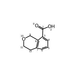 O=C(O)c1cccc2c1COCC2